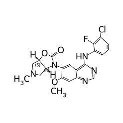 COc1cc2ncnc(Nc3cccc(Cl)c3F)c2cc1N1C(=O)O[C@H]2CN(C)C[C@H]21